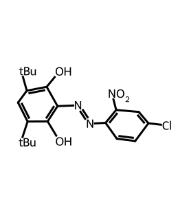 CC(C)(C)c1cc(C(C)(C)C)c(O)c(N=Nc2ccc(Cl)cc2[N+](=O)[O-])c1O